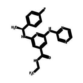 C[C@H](Nc1cc(C(=O)NCC(F)(F)F)cc(Nc2cnccn2)n1)c1ccc(F)cc1